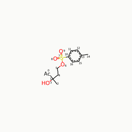 CC(=O)C(C)(O)CCOS(=O)(=O)c1ccc(C)cc1